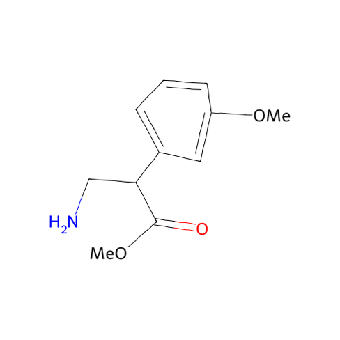 COC(=O)C(CN)c1cccc(OC)c1